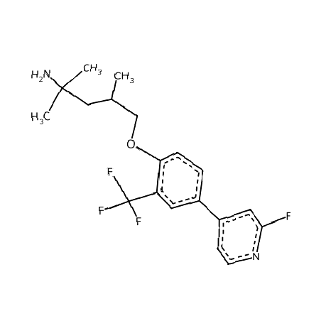 CC(COc1ccc(-c2ccnc(F)c2)cc1C(F)(F)F)CC(C)(C)N